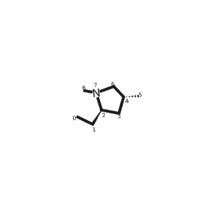 CC[C@@H]1C[C@@H](C)CN1C